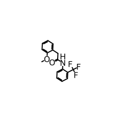 COc1ccccc1CC(=O)Nc1ccccc1C(F)(F)F